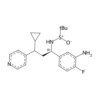 CC(C)(C)[S+]([O-])N[C@H](CC(c1ccncc1)C1CC1)c1ccc(F)c(N)c1